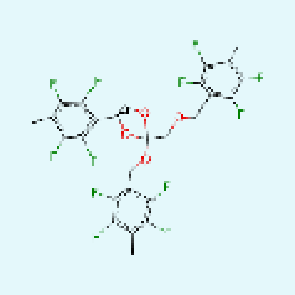 Cc1c(F)c(F)c(COCC([O][Zr])(OCc2c(F)c(F)c(C)c(F)c2F)OCc2c(F)c(F)c(C)c(F)c2F)c(F)c1F